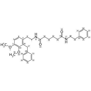 COc1ccc(CCNC(=O)CCCCC(=O)NCCc2ccccc2)c(Cc2ccccc2)c1OC